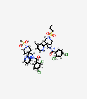 CCCS(=O)(=O)N1CCC(CNC(=O)c2ccc(Cl)cc2Cl)(c2cc(C)ccn2)CC1.CS(=O)(=O)N1CCC(CNC(=O)c2ccc(Cl)cc2Cl)(c2ccccn2)CC1